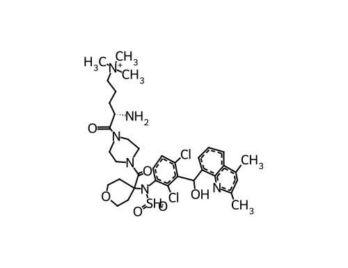 Cc1cc(C)c2cccc(C(O)c3c(Cl)ccc(N([SH](=O)=O)C4(C(=O)N5CCN(C(=O)[C@@H](N)CCC[N+](C)(C)C)CC5)CCOCC4)c3Cl)c2n1